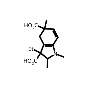 CCC1(C(=O)O)C2=C(C=CC(C)(C(=O)O)C2)N(C)C1C